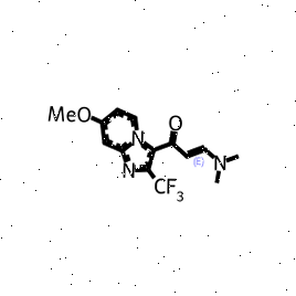 COc1ccn2c(C(=O)/C=C/N(C)C)c(C(F)(F)F)nc2c1